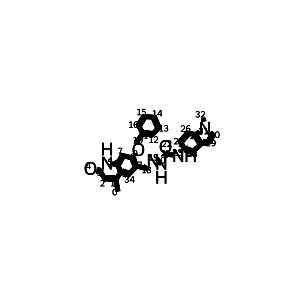 Cc1cc(=O)[nH]c2cc(OCc3ccccc3)c(/C=N/NC(=O)Nc3ccc4c(ccn4C)c3)cc12